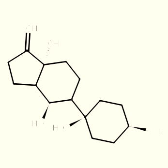 C=C1CCC2[C@H](O)C([C@]3(C)CC[C@@H](O)CC3)CC[C@]12C